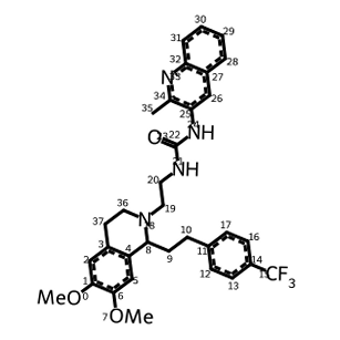 COc1cc2c(cc1OC)C(CCc1ccc(C(F)(F)F)cc1)N(CCNC(=O)Nc1cc3ccccc3nc1C)CC2